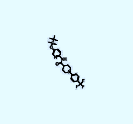 CC(C)(C)[Si](C)(C)Oc1ccc(NC(=O)C2CCN(c3ccc(C(F)(F)F)cc3)CC2)nc1